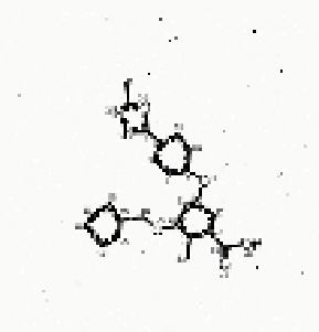 Cc1nnc(-c2ccc(Oc3cc(OCc4ccccc4)c(C)c(C(=O)O)c3)cc2)o1